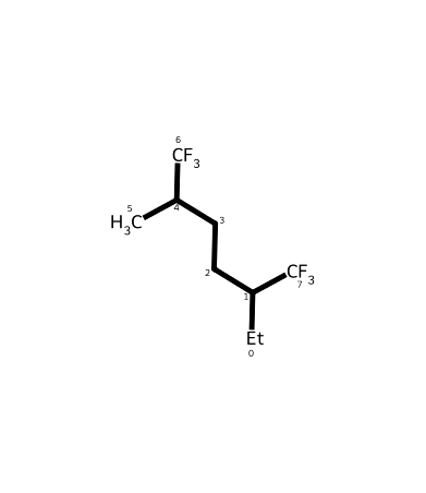 CCC(CCC(C)C(F)(F)F)C(F)(F)F